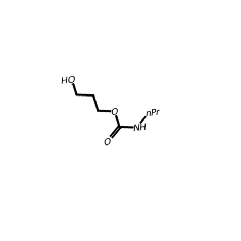 CCCNC(=O)OCCCO